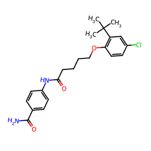 CC(C)(C)c1cc(Cl)ccc1OCCCCC(=O)Nc1ccc(C(N)=O)cc1